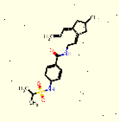 C=C/C=C1/CC(C)C/C1=C/CNC(=O)C1=CCC(NS(=O)(=O)C(C)C)C=C1